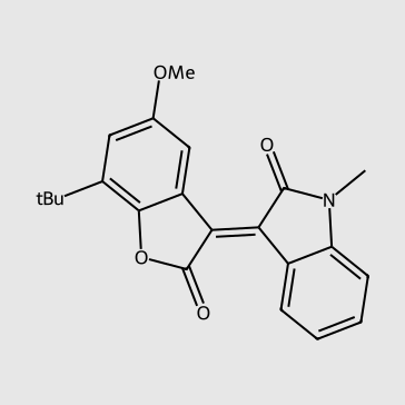 COc1cc2c(c(C(C)(C)C)c1)OC(=O)/C2=C1/C(=O)N(C)c2ccccc21